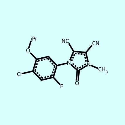 CC(C)Oc1cc(-n2c(C#N)c(C#N)n(C)c2=O)c(F)cc1Cl